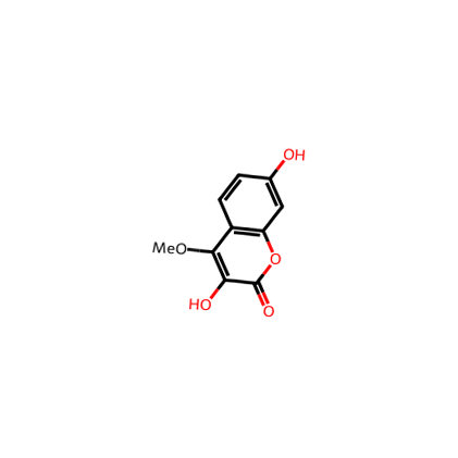 COc1c(O)c(=O)oc2cc(O)ccc12